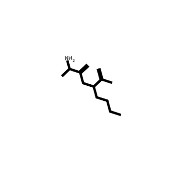 C=C(CC(CCCC)C(=C)C)C(C)N